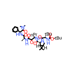 CCCC(NC(=O)[C@@H]1[C@@H]2[C@H](CN1C(=O)[C@@H](NC(=O)OC(C)(C)C)C(C)(C)C)C2(C)C)C(=O)C(=O)N[C@@H](C)C(=O)N[C@H](C(=O)N(C)C)c1ccccc1